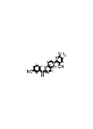 Cc1ccc(C#N)c(N2CCc3nc(Nc4cccc(C#N)c4)ncc3C2)n1